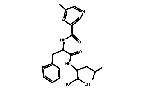 Cc1cncc(C(=O)NC(Cc2ccccc2)C(=O)NC(CC(C)C)B(O)O)n1